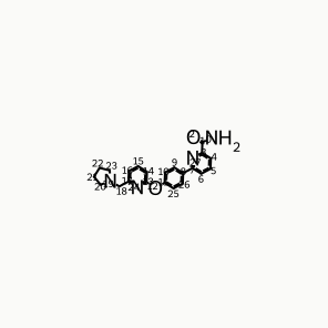 NC(=O)c1cccc(-c2ccc(Oc3cccc(CN4CCCC4)n3)cc2)n1